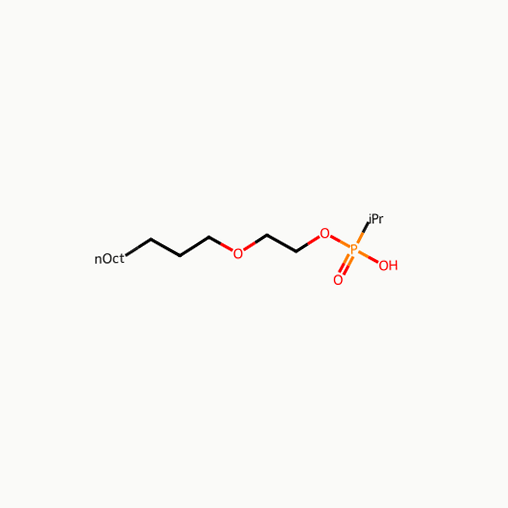 CCCCCCCCCCCOCCOP(=O)(O)C(C)C